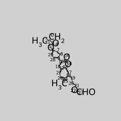 C=C(C)C(=O)Oc1ccc(-c2cc3c(oc2=O)=CC(CCCOC=O)C(C)=CC=3)cc1